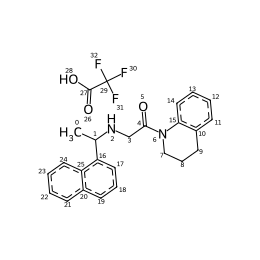 CC(NCC(=O)N1CCCc2ccccc21)c1cccc2ccccc12.O=C(O)C(F)(F)F